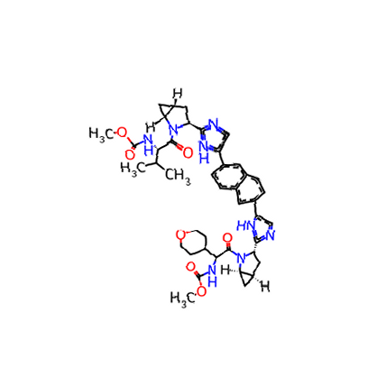 COC(=O)N[C@H](C(=O)N1[C@@H]2C[C@@H]2C[C@H]1c1ncc(-c2ccc3cc(-c4cnc([C@@H]5C[C@H]6C[C@H]6N5C(=O)[C@@H](NC(=O)OC)C5CCOCC5)[nH]4)ccc3c2)[nH]1)C(C)C